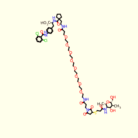 C[C@H]1[C@H](O)[C@@H](NC(=O)CCSC2CC(=O)N(CCC(=O)NCCOCCOCCOCCOCCOCCOCCOCCOCCC(=O)NCCC3(C(=O)N[C@@H](Cc4ccc(NC(=O)c5c(Cl)cccc5Cl)cc4)C(=O)O)CCCC3)C2=O)[C@H](C)O[C@@H]1CO